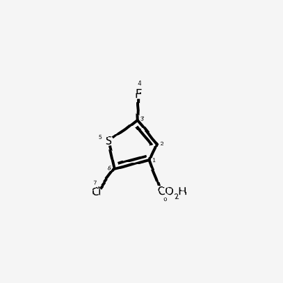 O=C(O)c1cc(F)sc1Cl